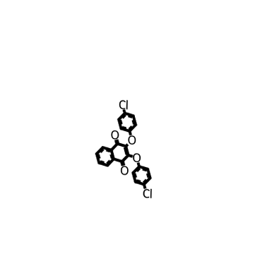 O=C1C(Oc2ccc(Cl)cc2)=C(Oc2ccc(Cl)cc2)C(=O)c2ccccc21